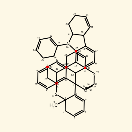 CC12CC=CC=C1C1(C3=C(CCC=C3c3cccc4c3N(C3=CC=CCC3)C3CCC=CC43)S2)C2C=CCCC2SC2C=CCC(C3C=CC=CC3)C21